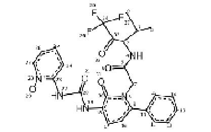 CC(C)C(NC(=O)Cn1c(-c2ccccc2)ccc(NC(=O)Nc2cccc[n+]2[O-])c1=O)C(=O)C(F)(F)F